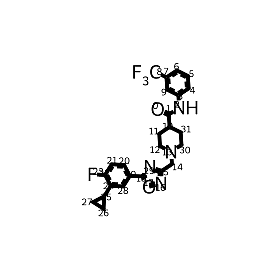 O=C(Nc1cccc(C(F)(F)F)c1)C1CCN(Cc2noc(-c3ccc(F)c(C4CC4)c3)n2)CC1